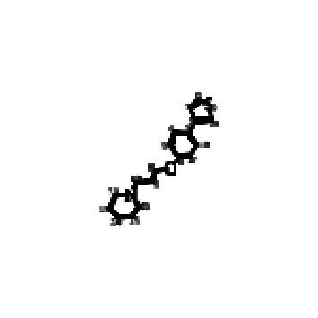 c1cc(-c2ccc(OCCCN3CCCCC3)cc2)cs1